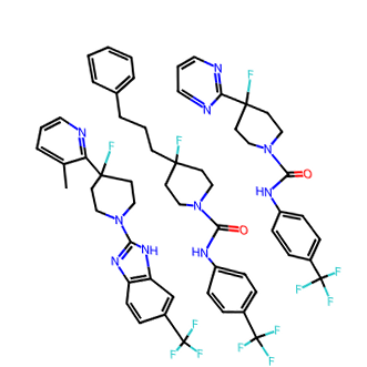 Cc1cccnc1C1(F)CCN(c2nc3ccc(C(F)(F)F)cc3[nH]2)CC1.O=C(Nc1ccc(C(F)(F)F)cc1)N1CCC(F)(CCCc2ccccc2)CC1.O=C(Nc1ccc(C(F)(F)F)cc1)N1CCC(F)(c2ncccn2)CC1